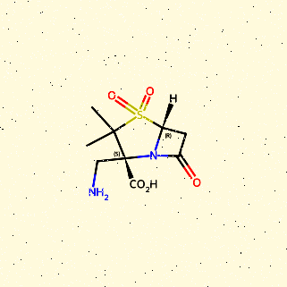 CC1(C)[C@](CN)(C(=O)O)N2C(=O)C[C@H]2S1(=O)=O